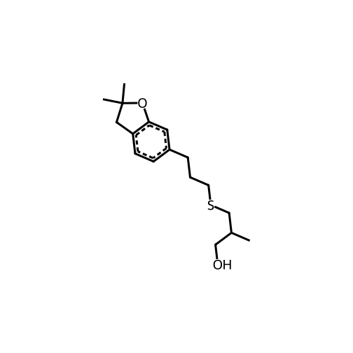 CC(CO)CSCCCc1ccc2c(c1)OC(C)(C)C2